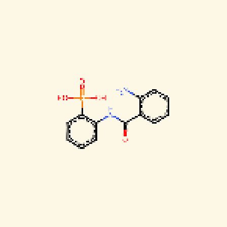 Nc1ccccc1C(=O)Nc1ccccc1P(=O)(O)O